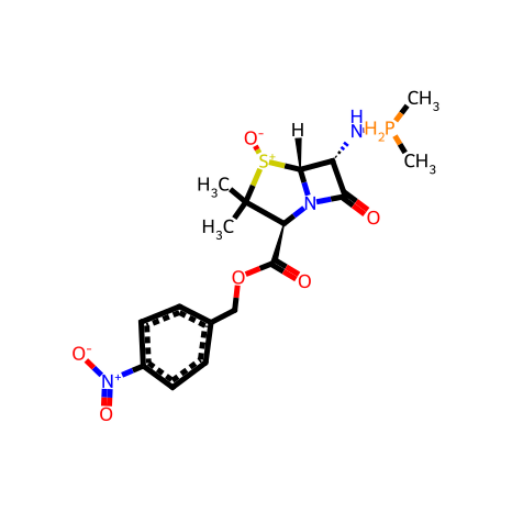 C[PH2](C)N[C@@H]1C(=O)N2[C@@H]1[S+]([O-])C(C)(C)[C@@H]2C(=O)OCc1ccc([N+](=O)[O-])cc1